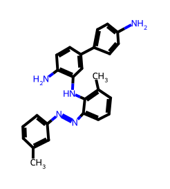 Cc1cccc(N=Nc2cccc(C)c2Nc2cc(-c3ccc(N)cc3)ccc2N)c1